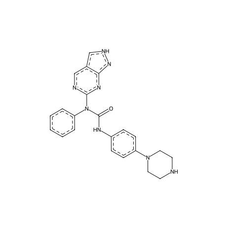 O=C(Nc1ccc(N2CCNCC2)cc1)N(c1ccccc1)c1ncc2c[nH]nc2n1